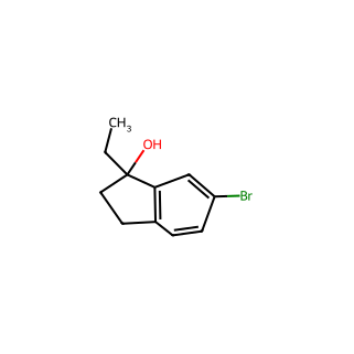 CCC1(O)CCc2ccc(Br)cc21